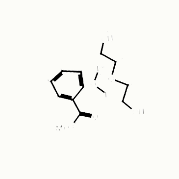 CCOCC.COC(=O)c1ccccc1.OCCOCCO